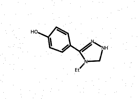 CCN1CNN=C1c1ccc(O)cc1